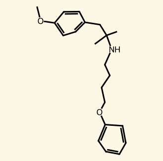 COc1ccc(CC(C)(C)NCCCCOc2ccccc2)cc1